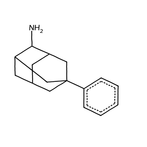 NC1C2CC3CC1CC(c1ccccc1)(C3)C2